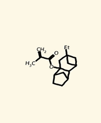 C=C(C)C(=O)OC12CC3(CC)CC(C3)C1C1CCC2C1